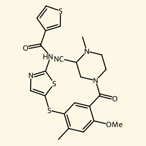 COc1cc(C)c(Sc2cnc(NC(=O)c3ccsc3)s2)cc1C(=O)N1CCN(C)C(C#N)C1